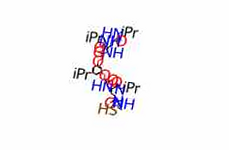 CC(C)NC(=O)CCC(NC(=O)COc1cc(OCC(=O)NC(CCC(=O)NC(C)S)C(=O)NC(C)C)cc(C(C)C)c1)C(=O)NC(C)C